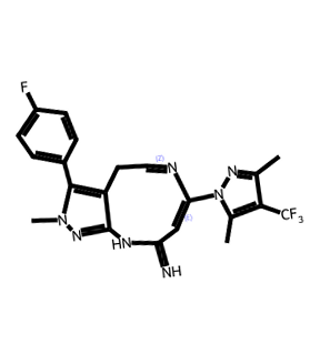 Cc1nn(C2=C/C(=N)Nc3nn(C)c(-c4ccc(F)cc4)c3C/C=N\2)c(C)c1C(F)(F)F